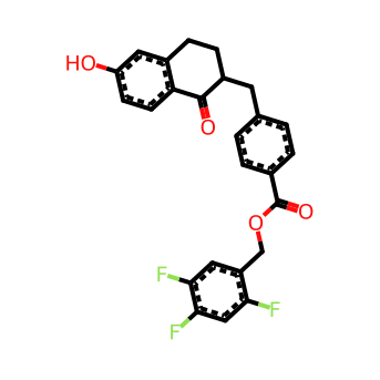 O=C(OCc1cc(F)c(F)cc1F)c1ccc(CC2CCc3cc(O)ccc3C2=O)cc1